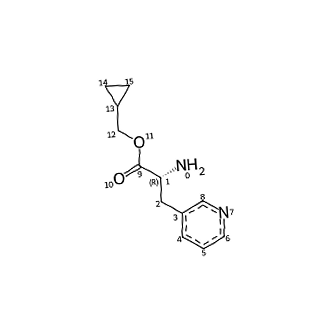 N[C@H](Cc1cccnc1)C(=O)OCC1CC1